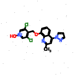 Cc1cc(-n2cccn2)c2cccc(OCc3c(Cl)c[n+](O)cc3Cl)c2n1